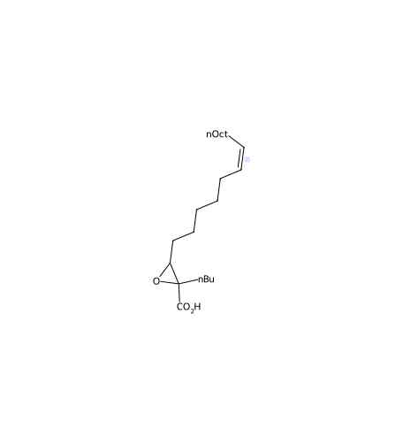 CCCCCCCC/C=C\CCCCCC1OC1(CCCC)C(=O)O